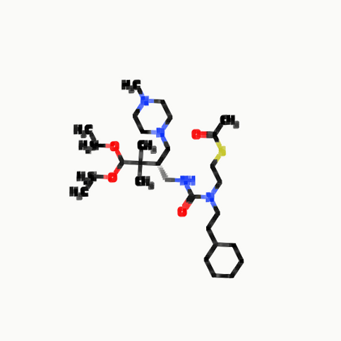 C[SiH2]OC(O[SiH2]C)C(C)(C)[C@@H](CNC(=O)N(CCSC(C)=O)CCC1CCCCC1)CN1CCN(C)CC1